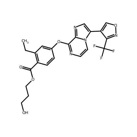 CCc1cc(Oc2nccn3c(-c4conc4C(F)(F)F)cnc23)ccc1C(=O)OCCCO